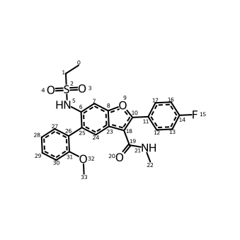 CCS(=O)(=O)Nc1cc2oc(-c3ccc(F)cc3)c(C(=O)NC)c2cc1-c1ccccc1OC